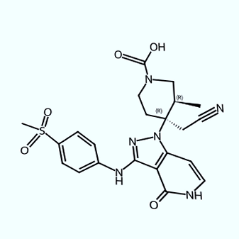 C[C@@H]1CN(C(=O)O)CC[C@]1(CC#N)n1nc(Nc2ccc(S(C)(=O)=O)cc2)c2c(=O)[nH]ccc21